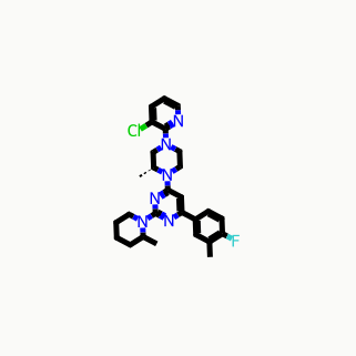 Cc1cc(-c2cc(N3CCN(c4ncccc4Cl)C[C@H]3C)nc(N3CCCCC3C)n2)ccc1F